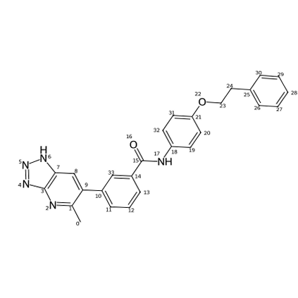 Cc1nc2nn[nH]c2cc1-c1cccc(C(=O)Nc2ccc(OCCc3ccccc3)cc2)c1